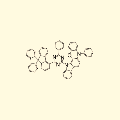 c1ccc(-c2nc(-c3cccc4c3-c3ccccc3C43c4ccccc4-c4ccccc43)nc(-n3c4ccccc4c4ccc5c(c43)Oc3ccccc3N5c3ccccc3)n2)cc1